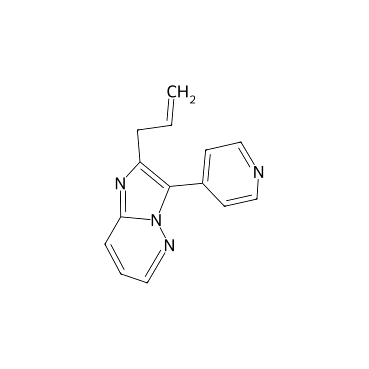 C=CCc1nc2cccnn2c1-c1ccncc1